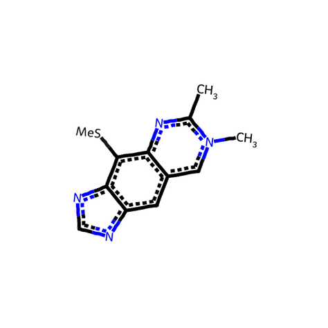 CSc1c2nc(C)n(C)cc2cc2ncnc12